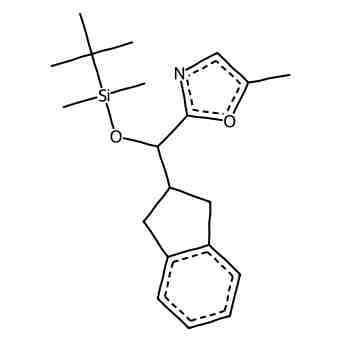 Cc1cnc(C(O[Si](C)(C)C(C)(C)C)C2Cc3ccccc3C2)o1